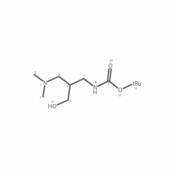 CN(C)CC(CO)CNC(=O)OC(C)(C)C